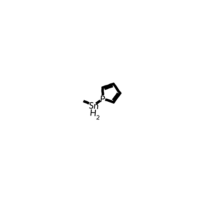 [CH3][SnH2][p]1cccc1